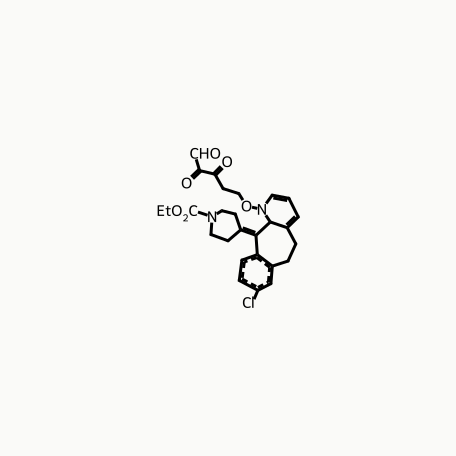 CCOC(=O)N1CCC(=C2c3ccc(Cl)cc3CCC3=CC=CN(OCCC(=O)C(=O)C=O)C32)CC1